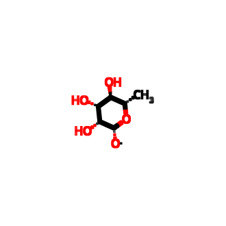 C[C@@H]1O[C@H]([O])[C@H](O)[C@H](O)[C@H]1O